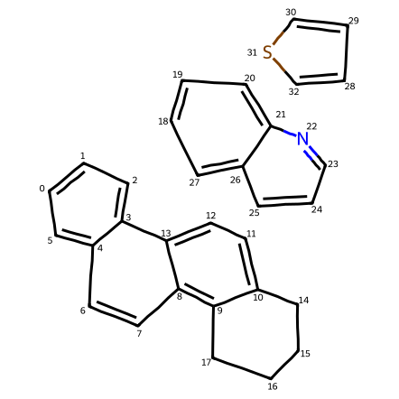 c1ccc2c(c1)ccc1c3c(ccc12)CCCC3.c1ccc2ncccc2c1.c1ccsc1